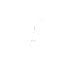 C#CC[PH](=O)CS(=O)(=O)OC